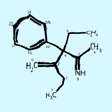 C=C(CC)C(CC)(C(C)=N)c1ccccc1